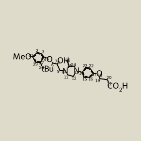 COc1ccc(OCC(O)CN2CCN(c3ccc(OCCC(=O)O)cc3)CC2C)c(C(C)(C)C)c1